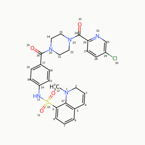 CN1CC=Cc2cccc(S(=O)(=O)Nc3ccc(C(=O)N4CCN(C(=O)c5ccc(Cl)cn5)CC4)cc3)c21